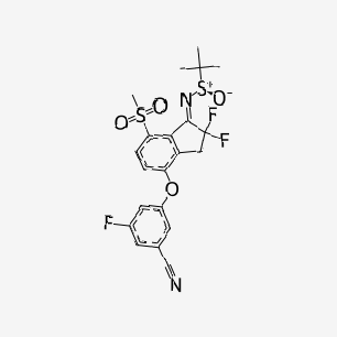 CC(C)(C)[S@@+]([O-])N=C1c2c(S(C)(=O)=O)ccc(Oc3cc(F)cc(C#N)c3)c2CC1(F)F